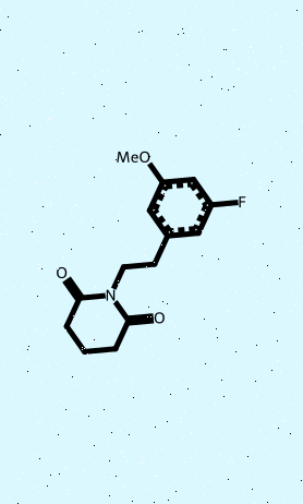 COc1cc(F)cc(CCN2C(=O)CCCC2=O)c1